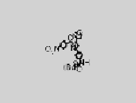 CC(C)(C)OC(=O)Nc1ccc(C2=NN(C(=O)c3ccc([N+](=O)[O-])cc3)C(C3C=COC=N3)C2)cc1